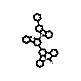 O=c1c2ccccc2c2cc(-c3cc(-n4c5ccccc5c5cc(-c6ccccc6)ccc54)c4oc5ccccc5c4c3)cc3c4ccccc4n1c23